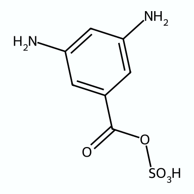 Nc1cc(N)cc(C(=O)OS(=O)(=O)O)c1